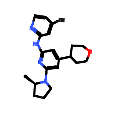 C[C@@H]1CCCN1c1cc(C2CCOCC2)cc(Nc2cc(C#N)ccn2)n1